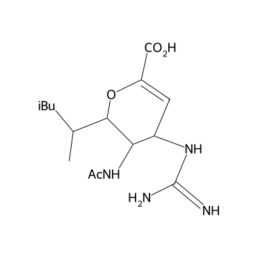 CCC(C)C(C)C1OC(C(=O)O)=CC(NC(=N)N)C1NC(C)=O